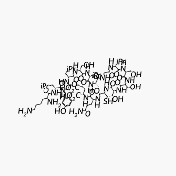 CC(C)C[C@H](NC(=O)[C@H](Cc1ccc(O)cc1)NC(=O)[C@H](CC(C)C)NC(=O)[C@@H](N)CCCCN)C(=O)N[C@@H](CO)C(=O)N[C@H](C(=O)N[C@@H](C)C(=O)NCC(=O)N[C@H](C(=O)N[C@@H](CO)C(=O)N[C@H](C(=O)N[C@H](C(=O)N[C@@H](CS)C(=O)N[C@@H](CCC(N)=O)C(=O)N[C@@H](CCC(=O)O)C(=O)O)[C@@H](C)O)[C@@H](C)O)C(C)C)C(C)C